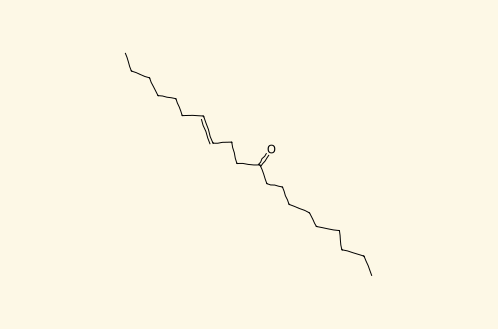 CCCCCC/C=C/CCC(=O)CCCCCCCCC